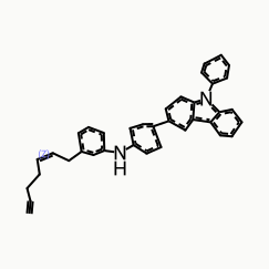 C#CCC/C=C\Cc1cccc(Nc2ccc(-c3ccc4c(c3)c3ccccc3n4-c3ccccc3)cc2)c1